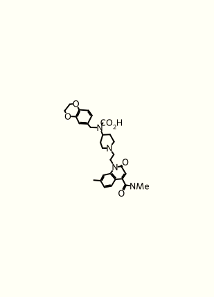 CNC(=O)c1cc(=O)n(CCN2CCC(N(Cc3ccc4c(c3)OCCO4)C(=O)O)CC2)c2cc(C)ccc12